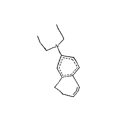 CCN(CC)c1ccc2c(c1)CCC=C2